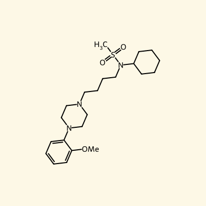 COc1ccccc1N1CCN(CCCCN(C2CCCCC2)S(C)(=O)=O)CC1